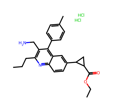 CCCc1nc2ccc(C3CC3C(=O)OCC)cc2c(-c2ccc(C)cc2)c1CN.Cl.Cl